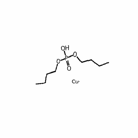 CCCCOP(=O)(O)OCCCC.[Cu]